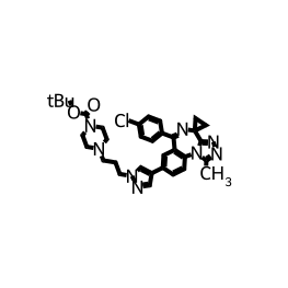 Cc1nnc2n1-c1ccc(-c3cnn(CCCN4CCN(C(=O)OC(C)(C)C)CC4)c3)cc1C(c1ccc(Cl)cc1)=NC21CC1